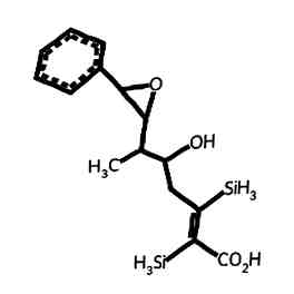 CC(C(O)CC([SiH3])=C([SiH3])C(=O)O)C1OC1c1ccccc1